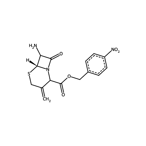 C=C1CS[C@@H]2C(N)C(=O)N2C1C(=O)OCc1ccc([N+](=O)[O-])cc1